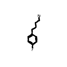 [N]CCCCc1ccc(F)cc1